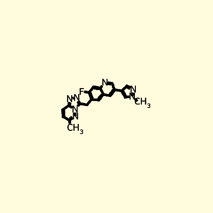 Cc1ccc2nnc(Cc3cc4cc(-c5cnn(C)c5)cnc4cc3F)n2n1